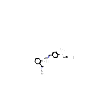 C#CCOc1ccc(/C=C/C(=O)NC2=C(/C(C)=N/OCC)CCC=C2)cc1OC